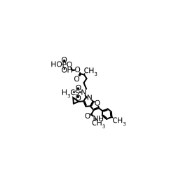 CNC(=O)c1c(-c2ccc(C)cc2)oc2nc(N(CCC[C@H](C)C(=O)OCOP(=O)(O)O)S(C)(=O)=O)c(C3CC3)cc12